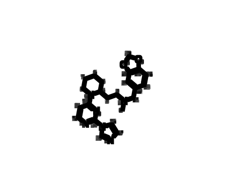 CN(CCC1CCCCN1c1ccnc(-n2ccnc2)n1)Cc1ccc2c(c1)OCO2